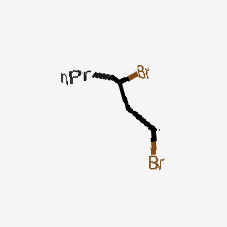 CCCC(Br)C[CH]Br